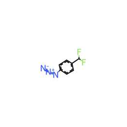 [N-]=[N+]=Nc1ccc(C(F)F)cc1